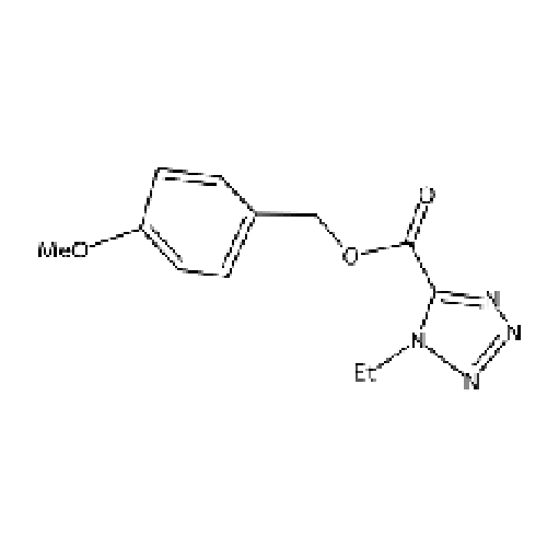 CCn1nnnc1C(=O)OCc1ccc(OC)cc1